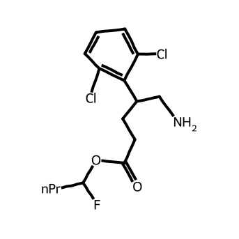 CCCC(F)OC(=O)CCC(CN)c1c(Cl)cccc1Cl